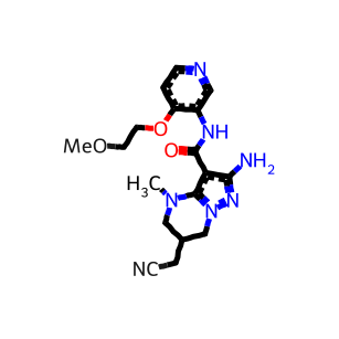 COCCOc1ccncc1NC(=O)c1c(N)nn2c1N(C)CC(CC#N)C2